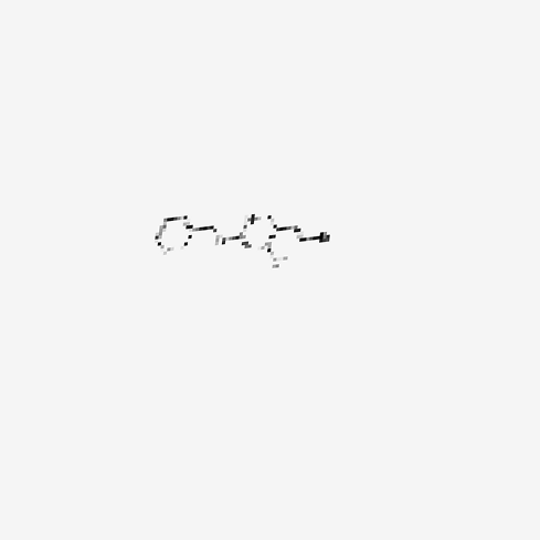 [O-][n+]1cc(OCc2ccccc2)ncc1C=CBr